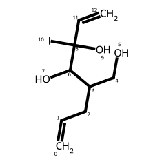 C=CCC(CO)C(O)C(O)(I)C=C